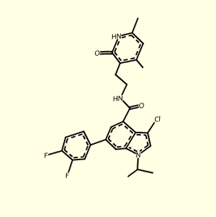 Cc1cc(C)c(CCNC(=O)c2cc(-c3ccc(F)c(F)c3)cc3c2c(Cl)cn3C(C)C)c(=O)[nH]1